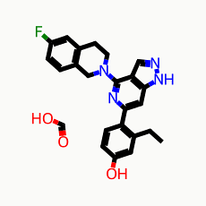 CCc1cc(O)ccc1-c1cc2[nH]ncc2c(N2CCc3cc(F)ccc3C2)n1.O=CO